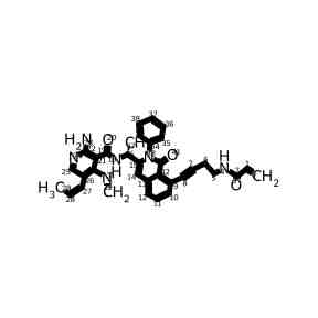 C=CC(=O)NCCC#Cc1cccc2cc([C@@H](C)NC(=O)c3c(N)ncc(/C=C\C)c3N=C)n(-c3ccccc3)c(=O)c12